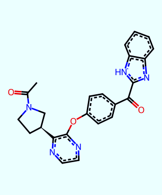 CC(=O)N1CC[C@H](c2nccnc2Oc2ccc(C(=O)c3nc4ccccc4[nH]3)cc2)C1